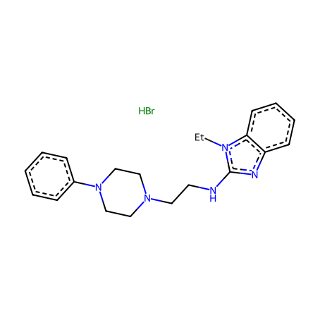 Br.CCn1c(NCCN2CCN(c3ccccc3)CC2)nc2ccccc21